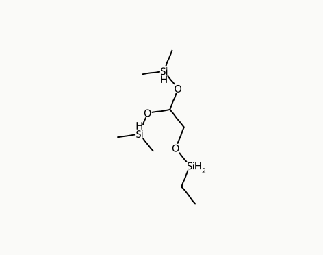 CC[SiH2]OCC(O[SiH](C)C)O[SiH](C)C